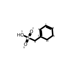 O=S(=O)(O)CC1=CC=CCC1